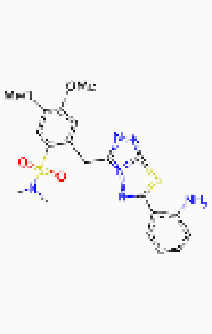 COc1cc(Cc2nnc3sc(-c4ccccc4N)nn23)c(S(=O)(=O)N(C)C)cc1OC